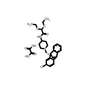 CCOC(OCC)C(=O)NC1CCN(C[C@]23CC(=C4C=CC(Cl)C=C42)c2ccccc23)CC1.O=C(O)C(=O)O